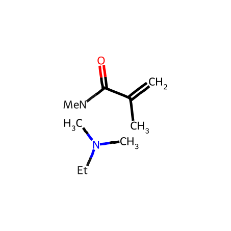 C=C(C)C(=O)NC.CCN(C)C